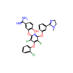 CN1CCN=C1c1cccc(Oc2nc(Oc3cc(C(=N)N)ccc3O)c(F)c(Oc3ccccc3Cl)c2F)c1